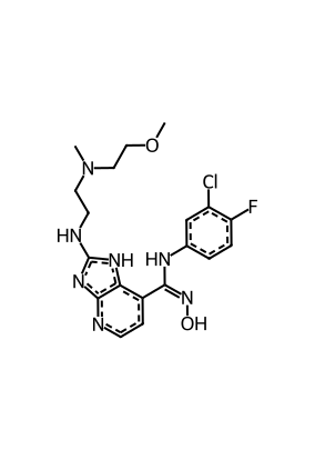 COCCN(C)CCNc1nc2nccc(/C(=N\O)Nc3ccc(F)c(Cl)c3)c2[nH]1